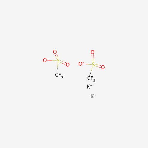 O=S(=O)([O-])C(F)(F)F.O=S(=O)([O-])C(F)(F)F.[K+].[K+]